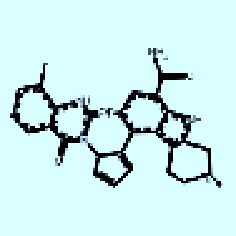 C[C@H]1CCc2c([nH]c3c(C(N)=O)cc(F)c(C4=CC=CC4n4c(=O)[nH]c5c(F)cccc5c4=O)c23)C1